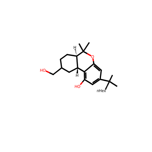 CCCCCCC(C)(C)c1cc(O)c2c(c1)OC(C)(C)[C@@H]1CCC(CO)C[C@@H]21